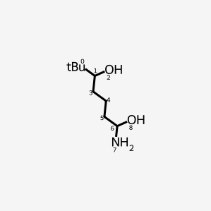 CC(C)(C)C(O)CCCC(N)O